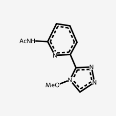 COn1cnnc1-c1cccc(NC(C)=O)n1